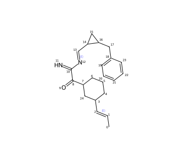 C/C=C/C1CCCC(C(=O)C(=N)/N=C/C2CC2Cc2ccccc2)C1